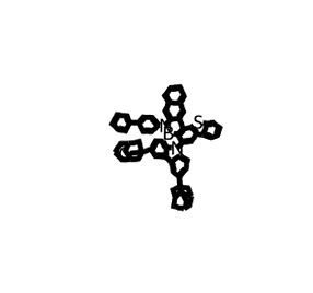 c1ccc(-c2ccc(N3B4c5c(cc6c(sc7ccccc76)c5-c5cc6ccccc6cc53)-n3c5ccc(C67CC8CC(CC(C8)C6)C7)cc5c5cc(C67CC8CC(CC(C8)C6)C7)cc4c53)cc2)cc1